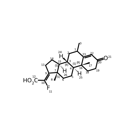 CC1C[C@@H]2[C@H](CC[C@]3(C)C(=C(F)C(=O)O)CC[C@@H]23)[C@@]2(C)CCC(=O)C=C12